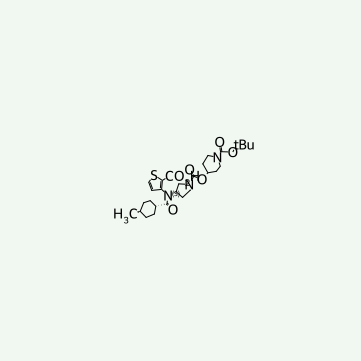 CC(C)(C)OC(=O)N1CCC(OC(=O)N2CC[C@H](N(c3ccsc3C(=O)O)C(=O)[C@H]3CC[C@H](C)CC3)C2)CC1